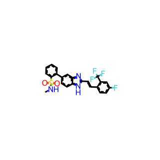 CNS(=O)(=O)c1ccccc1-c1ccc2[nH]c(C=Cc3ccc(F)cc3C(F)(F)F)nc2c1